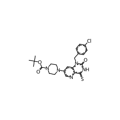 CC(C)(C)OC(=O)N1CCN(c2cnc3c(=S)[nH]c(=O)n(Cc4ccc(Cl)cc4)c3c2)CC1